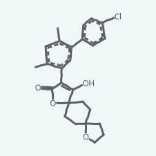 Cc1cc(C)c(-c2ccc(Cl)cc2)cc1C1=C(O)C2(CCC3(CCCO3)CC2)OC1=O